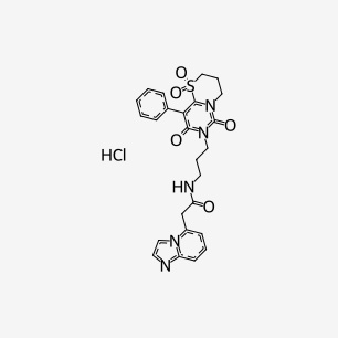 Cl.O=C(Cc1cccc2nccn12)NCCCn1c(=O)c(-c2ccccc2)c2n(c1=O)CCCS2(=O)=O